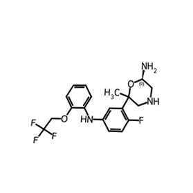 CC1(c2cc(Nc3ccccc3OCC(F)(F)F)ccc2F)CNC[C@H](N)O1